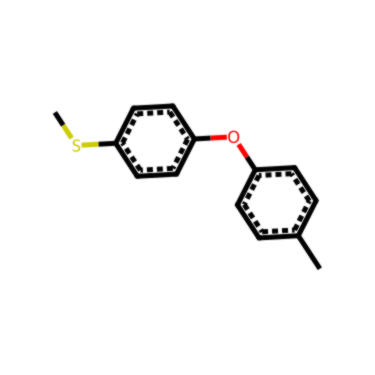 CSc1ccc(Oc2ccc(C)cc2)cc1